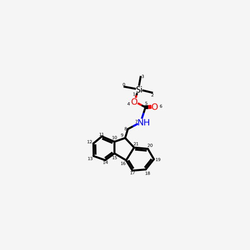 C[Si](C)(C)OC(=O)NCC1c2ccccc2-c2ccccc21